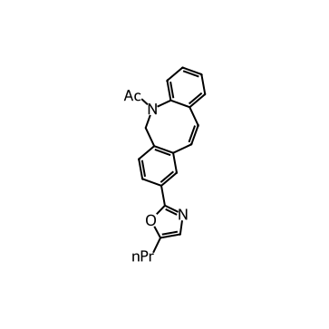 CCCc1cnc(-c2ccc3c(c2)C=Cc2ccccc2N(C(C)=O)C3)o1